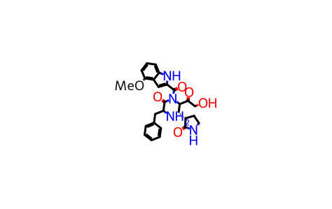 COc1cccc2[nH]c(C(=O)N(C(=O)C(N)Cc3ccccc3)C(C[C@@H]3CCNC3=O)C(=O)CO)cc12